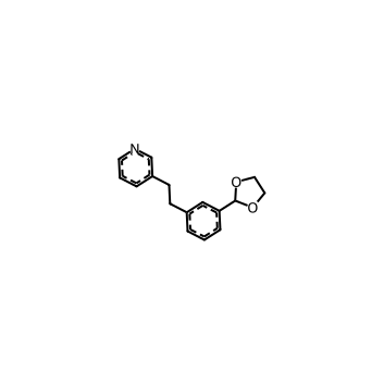 c1cncc(CCc2cccc(C3OCCO3)c2)c1